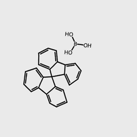 OB(O)O.c1ccc2c(c1)-c1ccccc1C21c2ccccc2-c2ccccc21